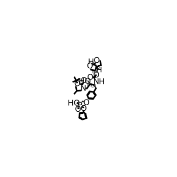 CC(C)CN(C[C@@H](O)[C@H](Cc1ccc(OCP(=O)(O)Oc2ccccc2)cc1)NC(=O)O[C@H]1CO[C@H]2OCC[C@H]21)C(=O)OC(C)(C)C